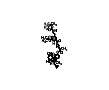 CN(CCNC(=O)C(CCCCNC(=O)OC(C)(C)C)NC(=O)OC(C)(C)C)C(=O)Oc1ccc2c3c1O[C@H]1C(=O)CC[C@@]4(O)[C@@H](C2)[N@@+](C)(CC2CC2)CC[C@]314